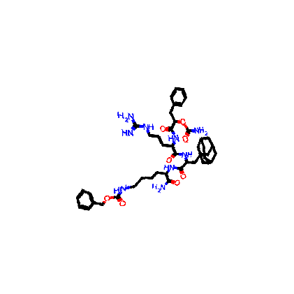 N=C(N)NCCCC(NC(=O)C(Cc1ccccc1)OC(N)=O)C(=O)NC(CC12CC3CC(CC(C3)C1)C2)C(=O)NC(CCCCNC(=O)OCc1ccccc1)C(N)=O